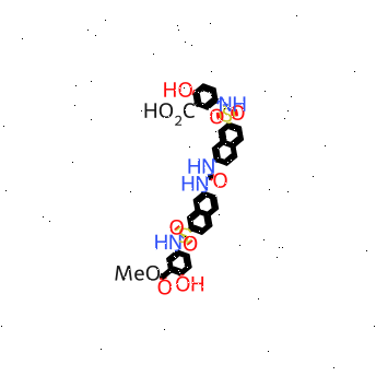 COC(=O)c1cc(NS(=O)(=O)c2ccc3ccc(NC(=O)Nc4ccc5ccc(S(=O)(=O)Nc6ccc(O)c(C(=O)O)c6)cc5c4)cc3c2)ccc1O